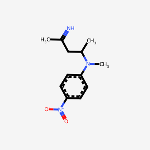 CC(=N)CC(C)N(C)c1ccc([N+](=O)[O-])cc1